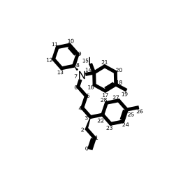 C=CC[C@@H](CCCN([C@H]1C=CCCC1)C1(I)CC=C(C)CC1)C1CC=C(C)CC1